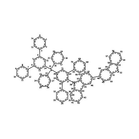 c1ccc(-c2cc(-c3ccccc3)cc(S(c3ccccc3)(c3ccccc3)c3cc(-c4ccccc4)c(-n4c5ccccc5c5cc(-c6ccc7sc8ccccc8c7c6)ccc54)c(-c4ccccc4)c3)c2)cc1